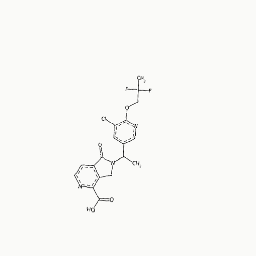 CC(c1cnc(OCC(C)(F)F)c(Cl)c1)N1Cc2c(ccnc2C(=O)O)C1=O